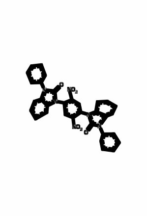 O=c1n(-c2ccccc2)c2ccccc2n1-c1cc([N+](=O)[O-])c(-n2c(=O)n(-c3ccccc3)c3ccccc32)cc1[N+](=O)[O-]